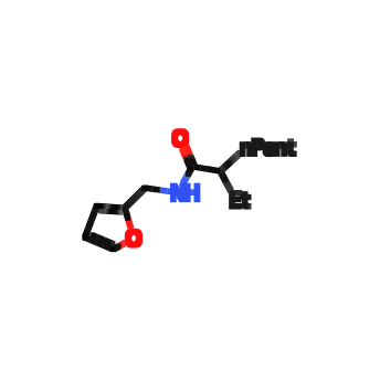 CCCCCC(CC)C(=O)NCc1ccco1